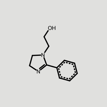 OCCN1CCN=C1c1ccccc1